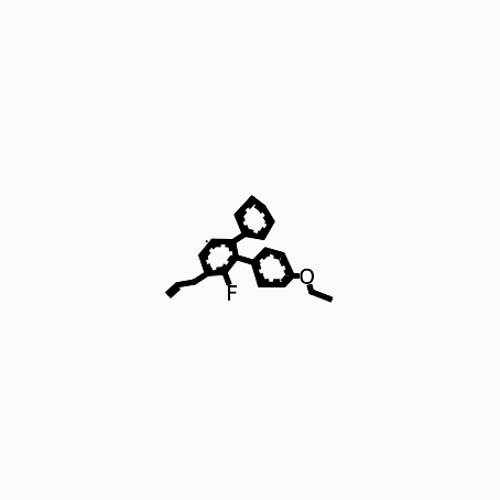 C=CCc1c[c]c(-c2ccccc2)c(-c2ccc(OCC)cc2)c1F